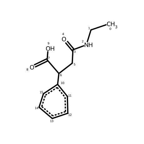 CCNC(=O)CC(C(=O)O)c1ccccc1